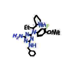 CCC(C1CCCN1)N(c1ccc(OC)c(F)c1)c1nc(N)nc(NCC2CCCCC2)n1